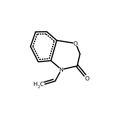 C=CN1C(=O)COc2ccccc21